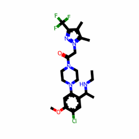 CCNC(C)c1cc(Cl)c(OC)cc1N1CCN(C(=O)Cn2nc(C(F)(F)F)c(C)c2C)CC1